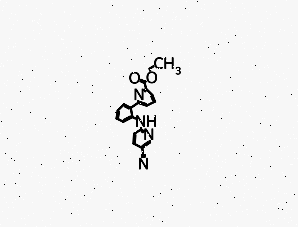 CCOC(=O)c1cccc(-c2ccccc2Nc2ccc(C#N)cn2)n1